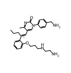 CCC/C(=C\c1cn(-c2ccc(CN)cc2)c(=O)nc1C)c1ccccc1OCCCNCCN